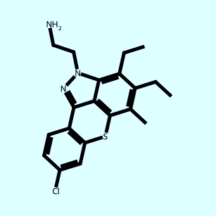 CCc1c(C)c2c3c(nn(CCN)c3c1CC)-c1ccc(Cl)cc1S2